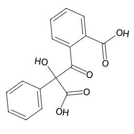 O=C(O)c1ccccc1C(=O)C(O)(C(=O)O)c1ccccc1